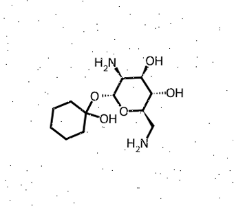 NC[C@H]1O[C@H](OC2(O)CCCCC2)[C@@H](N)[C@@H](O)[C@@H]1O